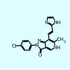 Cc1[nH]cc2c(=O)n(-c3ccc(Cl)cc3)nc-2c1C=Cc1ncc[nH]1